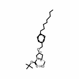 CCCCCCCCc1ccc(CO[C@H]2C[C@H](CO)N(C(=O)OC(C)(C)C)C2)cc1